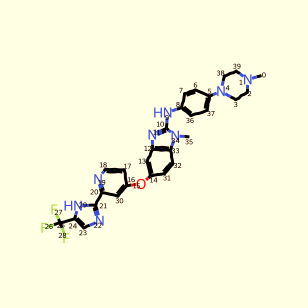 CN1CCN(c2ccc(Nc3nc4cc(Oc5ccnc(-c6ncc(C(F)(F)F)[nH]6)c5)ccc4n3C)cc2)CC1